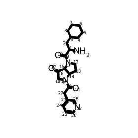 NC(CC1CCCCC1)C(=O)N1CCC2C1C(=O)CN2C(=O)Cc1cccnc1